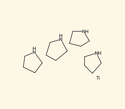 C1CCNC1.C1CCNC1.C1CCNC1.C1CCNC1.[Ti]